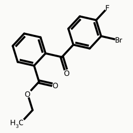 CCOC(=O)c1ccccc1C(=O)c1ccc(F)c(Br)c1